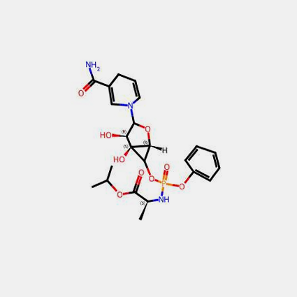 CC(C)OC(=O)[C@H](C)NP(=O)(Oc1ccccc1)OC1[C@H]2OC(N3C=CCC(C(N)=O)=C3)[C@H](O)[C@@]12O